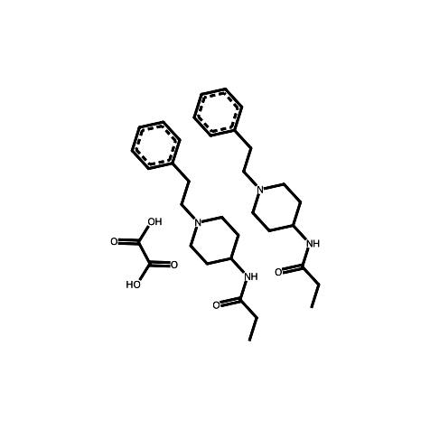 CCC(=O)NC1CCN(CCc2ccccc2)CC1.CCC(=O)NC1CCN(CCc2ccccc2)CC1.O=C(O)C(=O)O